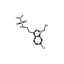 CC(C)Cn1cc(CCNS(=O)(=O)N(C)C)c2ccc(Cl)cc21